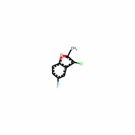 Cc1oc2ccc(F)cc2c1Cl